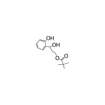 CC(C)(C)C(=O)OCCC(O)c1ccccc1O